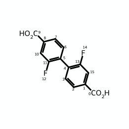 O=C(O)c1ccc(-c2ccc(C(=O)O)cc2F)c(F)c1